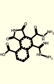 N=C(NN)c1c(C(=O)NN)c2c(c3c(C(=O)O)cccc13)C(=O)NC2=O